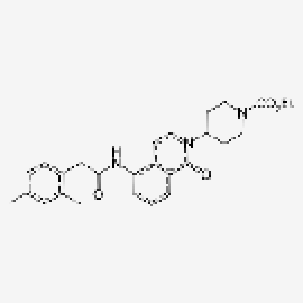 CCOC(=O)N1CCC(n2ccc3c(NC(=O)Cc4c(C)cc(C)cc4C)cccc3c2=O)CC1